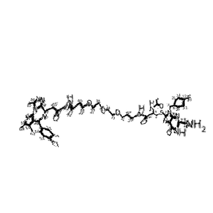 CC(=O)N[C@@H](CSc1nc2c(=O)[nH]c(N)nc2n1Cc1ccc(F)cc1)C(=O)NCCCOCCOCCOCCCNC(=O)CC1N=C(c2ccc(Cl)cc2)c2c(sc(C)c2C)-n2c(C)nnc21